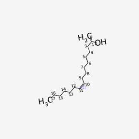 C=C(O)CCCCCCC/C=C\CCCCCC